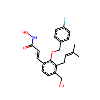 CC(C)=CCc1c(CO)ccc(/C=C/C(=O)NO)c1OCc1ccc(F)cc1